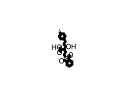 O=C(O)C(CCN1C(=O)c2ccccc2C1=O)C(O)CCc1ccc(I)cc1